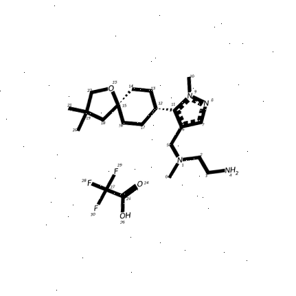 CN(CCN)Cc1cnn(C)c1[C@H]1CC[C@]2(CC1)CC(C)(C)CO2.O=C(O)C(F)(F)F